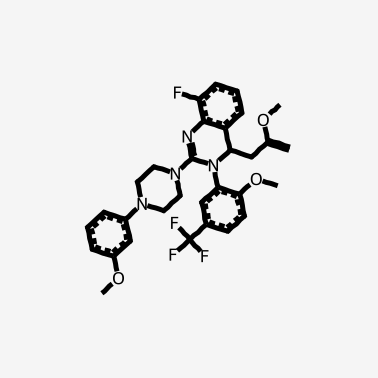 C=C(CC1c2cccc(F)c2N=C(N2CCN(c3cccc(OC)c3)CC2)N1c1cc(C(F)(F)F)ccc1OC)OC